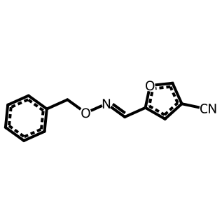 N#Cc1coc(/C=N/OCc2ccccc2)c1